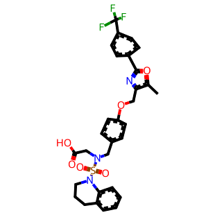 Cc1oc(-c2ccc(C(F)(F)F)cc2)nc1COc1ccc(CN(CC(=O)O)S(=O)(=O)N2CCCc3ccccc32)cc1